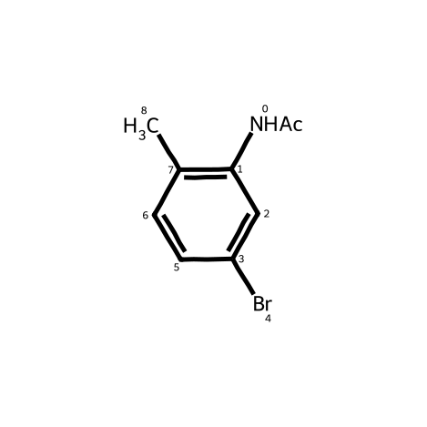 CC(=O)Nc1cc(Br)ccc1C